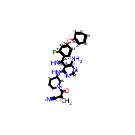 C=C(C#N)C(=O)N1CCCC(Nc2ncnc(N)c2C(=N)c2ccc(Oc3ccccc3)cc2F)C1